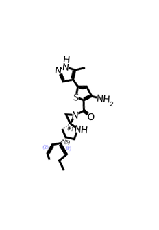 C/C=C\C(=C/CC)[C@H]1CN[C@@]2(C1)CN2C(=O)c1sc(-c2cn[nH]c2C)cc1N